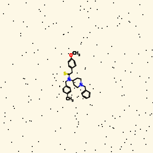 COc1ccc(CC(=S)N(Cc2ccc(C)cc2)C2CCN(Cc3ccccc3)CC2)cc1